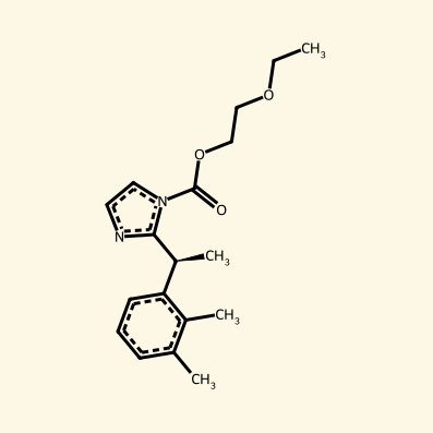 CCOCCOC(=O)n1ccnc1[C@@H](C)c1cccc(C)c1C